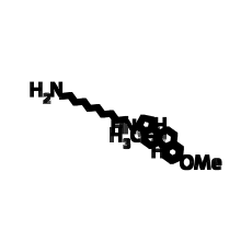 COc1ccc2c(c1)CC[C@@H]1[C@@H]2CC[C@]2(C)C(NCCCCCCCCCCN)CC[C@@H]12